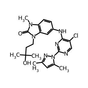 Cc1cc(C)n(-c2ncc(Cl)c(Nc3ccc4c(c3)n(CCC(C)(C)O)c(=O)n4C)n2)n1